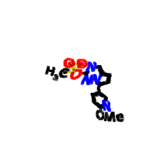 COc1ccc(-c2ccc3cnc(OS(C)(=O)=O)nn23)cn1